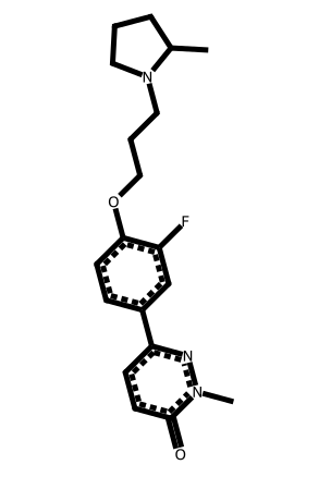 CC1CCCN1CCCOc1ccc(-c2ccc(=O)n(C)n2)cc1F